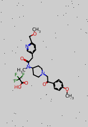 COCc1ccc(CC(=O)N(C)C2CCN(CC(=O)c3ccc(OC)cc3)CC2)cn1.O=C(O)C(F)(F)F